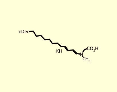 CCCCCCCCCCCCCCCCCCC=CC=CN(C)CC(=O)O.[KH]